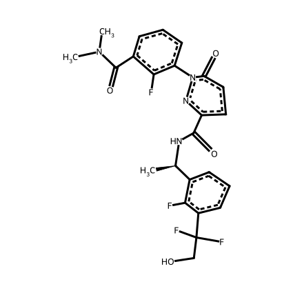 C[C@@H](NC(=O)c1ccc(=O)n(-c2cccc(C(=O)N(C)C)c2F)n1)c1cccc(C(F)(F)CO)c1F